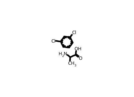 CC(N)C(=O)O.Clc1cccc(Cl)c1